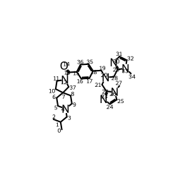 CC(C)CN1CCC2(CC1)CCN(C(=O)c1ccc(CN(Cc3nccn3C)Cc3nccn3C)cc1)C2